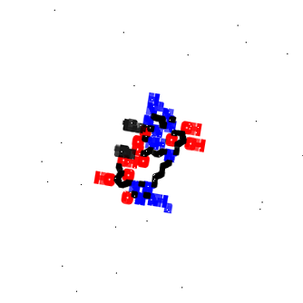 CC(C)(C)OC(=O)N[C@@H](CCN(CCCCCN1CN([C@H]2C[C@H](O)[C@@H](CO)O2)C(=O)N=C1N)C[C@H]1O[C@@H](n2cnc3c(N)ncnc32)[C@H](O)[C@@H]1O)C(=O)OC(C)(C)C